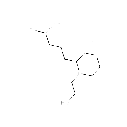 CCCC(CCC)CCC[C@H]1COCCN1CCO.Cl